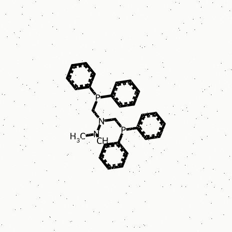 CN(C)N(CP(c1ccccc1)c1ccccc1)CP(c1ccccc1)c1ccccc1